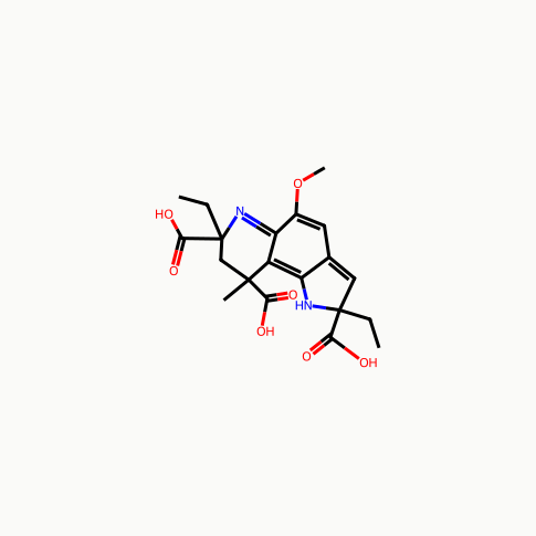 CCC1(C(=O)O)CC(C)(C(=O)O)c2c3c(cc(OC)c2=N1)=CC(CC)(C(=O)O)N3